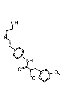 COc1ccc2c(c1)CC(C(=O)Nc1ccc(/C=C/N=C\CO)cc1)CO2